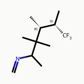 C=NC(C)C(C)(C)[C@H](C)[C@H](C)C(F)(F)F